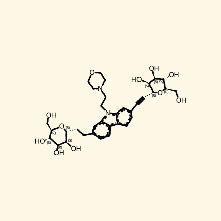 OC[C@H]1O[C@H](CCc2ccc3c4ccc(C#C[C@H]5O[C@H](CO)[C@@H](O)[C@H](O)[C@@H]5O)cc4n(CCN4CCOCC4)c3c2)[C@@H](O)[C@@H](O)[C@@H]1O